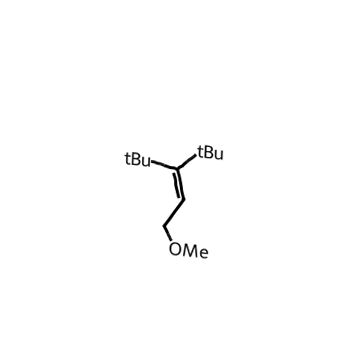 COCC=C(C(C)(C)C)C(C)(C)C